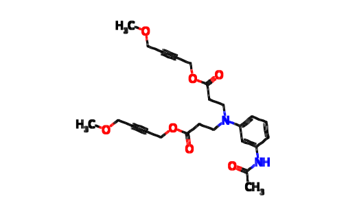 COCC#CCOC(=O)CCN(CCC(=O)OCC#CCOC)c1cccc(NC(C)=O)c1